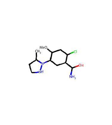 COC1CC(Cl)C(C(N)O)CC1N1NCCC1C